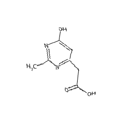 Cc1nc(O)cc(CC(=O)O)n1